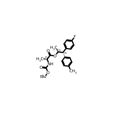 Cc1ccc([C@@H](c2ccc(F)cc2)[C@H](C)OC(=O)[C@H](C)NC(=O)OC(C)(C)C)cc1